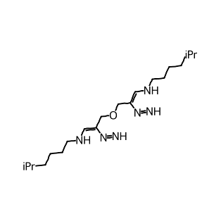 CC(C)CCCCN/C=C(/COC/C(=C/NCCCCC(C)C)N=N)N=N